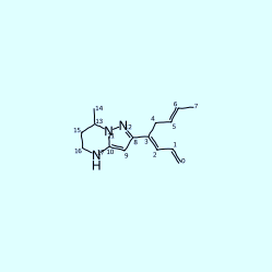 C=C/C=C(\C/C=C/C)c1cc2n(n1)C(C)CCN2